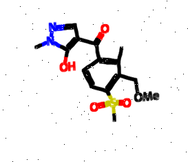 COCc1c(S(C)(=O)=O)ccc(C(=O)c2cnn(C)c2O)c1C